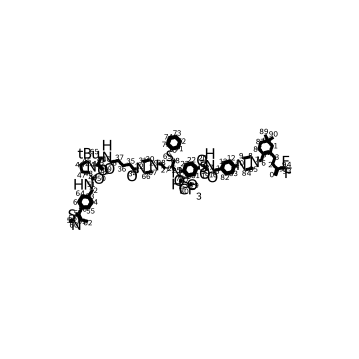 C=C(CCC1=C(CN2CCN(c3ccc(C(=O)NS(=O)(=O)c4ccc(N[C@H](CCN5CCN(C(=O)CCCC(=O)N[C@H](C(=O)N6CCC[C@H]6C(=O)NCc6ccc(-c7scnc7C)cc6)C(C)(C)C)CC5)CSc5ccccc5)c(S(=O)(=O)C(F)(F)F)c4)cc3)CC2)CCC(C)(C)C1)C(F)F